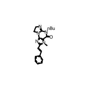 CCCCN1C(=O)c2c(nc(/C=C/c3ccccc3)n2C)N2CCN=C12